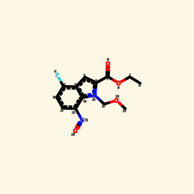 CCOC(=O)c1cc2c(F)ccc(N=O)c2n1COC